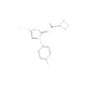 Cc1cn(-c2ccc(F)cc2)c(=NC(=O)C2CCC2)s1